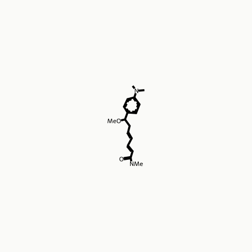 CNC(=O)/C=C/C=C/CC(OC)c1ccc(N(C)C)cc1